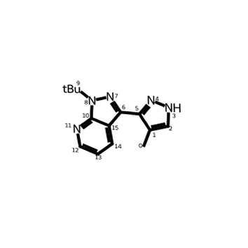 Cc1c[nH]nc1-c1nn(C(C)(C)C)c2ncccc12